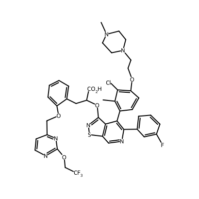 Cc1c(-c2c(-c3cccc(F)c3)ncc3snc(OC(Cc4ccccc4OCc4ccnc(OCC(F)(F)F)n4)C(=O)O)c23)ccc(OCCN2CCN(C)CC2)c1Cl